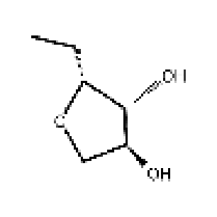 CC[C@H]1OC[C@H](O)[C@H]1O